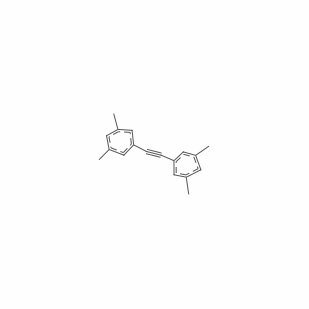 Cc1cc(C)cc(C#Cc2cc(C)cc(C)c2)c1